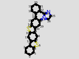 c1ccc2c(c1)sc1cc3c(cc12)sc1cc2c4ccccc4c4nccn4c2cc13